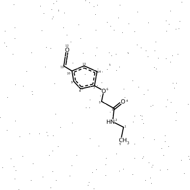 CCNC(=O)COc1ccc([C]=O)cc1